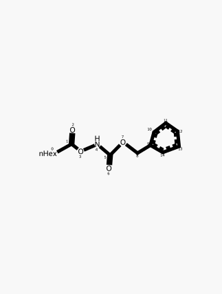 CCCCCCC(=O)ONC(=O)OCc1ccccc1